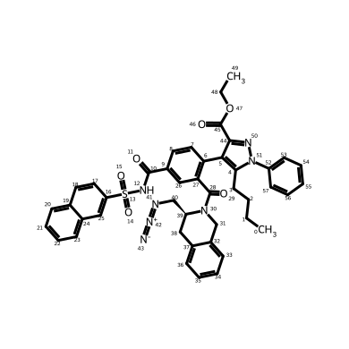 CCCCc1c(-c2ccc(C(=O)NS(=O)(=O)c3ccc4ccccc4c3)cc2C(=O)N2Cc3ccccc3C[C@H]2CN=[N+]=[N-])c(C(=O)OCC)nn1-c1ccccc1